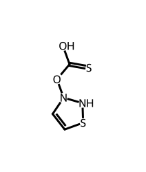 OC(=S)ON1C=CSN1